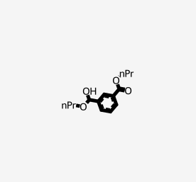 CCCOC(=O)c1cccc(C(O)OCCC)c1